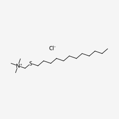 CCCCCCCCCCCCSC[N+](C)(C)C.[Cl-]